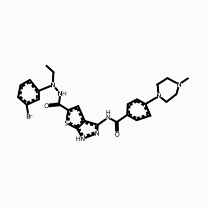 CCN(NC(=O)c1cc2c(NC(=O)c3ccc(N4CCN(C)CC4)cc3)n[nH]c2s1)c1cccc(Br)c1